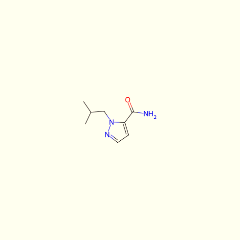 CC(C)Cn1nccc1C(N)=O